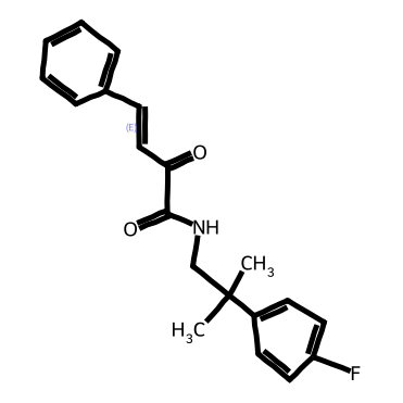 CC(C)(CNC(=O)C(=O)/C=C/c1ccccc1)c1ccc(F)cc1